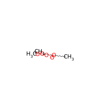 CCCCCCCCOC(=O)CCCOCCOCCOC(C)C